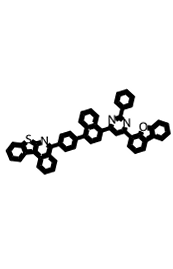 c1ccc(-c2nc(-c3ccc(-c4ccc(-c5nc6sc7ccccc7c6c6ccccc56)cc4)c4ccccc34)cc(-c3cccc4c3oc3ccccc34)n2)cc1